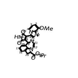 COc1cccn2c(C3=C(C4=NC=CN5c6c(cccc64)CC5C(=O)OC(C)C)C(=O)NC3=O)cnc12